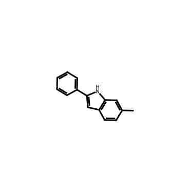 Cc1ccc2cc(-c3c[c]ccc3)[nH]c2c1